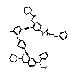 O=C(Cc1ccc(N(C(=O)O)c2ccccc2)cc1C#Cc1ccc(F)cc1)N1CCCCC1.O=C(NCCc1cccnc1)Nc1ccc(CC(=O)N2CCCCC2)c(C#Cc2ccc(F)cc2)c1